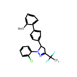 CSc1ccccc1-c1ccc(C2CC(C(F)(F)C(F)(F)F)=NN2c2ccccc2Cl)cc1